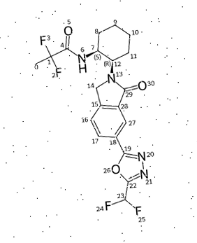 CC(F)(F)C(=O)N[C@H]1CCCC[C@H]1N1Cc2ccc(-c3nnc(C(F)F)o3)cc2C1=O